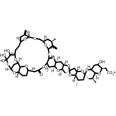 C=C1C[C@@H]2CC[C@]3(O)O[C@@H]4C[C@H](CC(O)(O)[C@H]3O)O[C@H]3CC[C@H](CC(=O)O[C@@H]5[C@@H](C)[C@@H]6O[C@@H]7C[C@@]8(C[C@@H]9O[C@]%10(C[C@H](C)[C@@H]%11O[C@H](CC(=O)O)[C@H](O)C[C@@H]%11O%10)C[C@H](C)[C@@H]9O8)O[C@@H]7C[C@@H]6O[C@H]5C[C@H]5O[C@@H](CC[C@@H]1O2)C[C@@H](C)C5=C)OC34